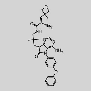 CC(C)(CNC(=O)C(C#N)=CC1(C)COC1)Cn1c(=O)n(-c2ccc(Oc3ccccc3)cc2)c2c(N)ncnc21